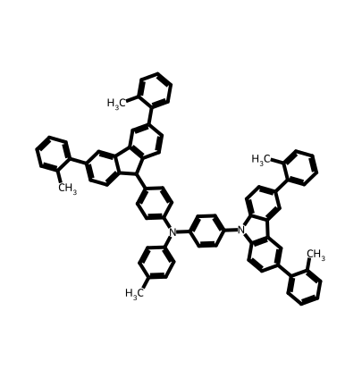 Cc1ccc(N(c2ccc(C3c4ccc(-c5ccccc5C)cc4-c4cc(-c5ccccc5C)ccc43)cc2)c2ccc(-n3c4ccc(-c5ccccc5C)cc4c4cc(-c5ccccc5C)ccc43)cc2)cc1